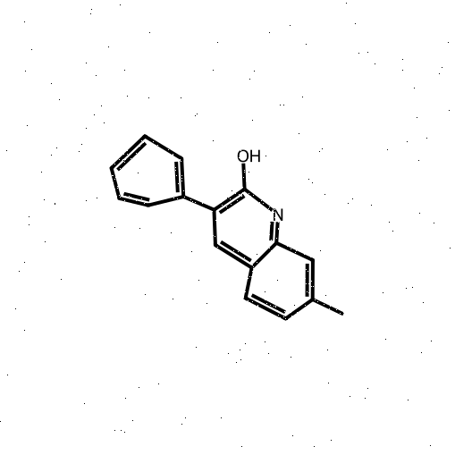 Cc1ccc2cc(-c3ccccc3)c(O)nc2c1